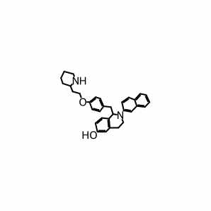 Oc1ccc2c(c1)CCN(c1ccc3ccccc3c1)C2Cc1ccc(OCCC2CCCCN2)cc1